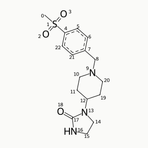 CS(=O)(=O)c1ccc(CN2CCC(N3CCNC3=O)CC2)cc1